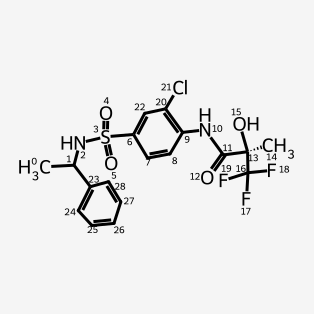 CC(NS(=O)(=O)c1ccc(NC(=O)[C@@](C)(O)C(F)(F)F)c(Cl)c1)c1ccccc1